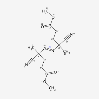 COC(=O)CCC(C)(C#N)/N=N/C(C)(C#N)CCC(=O)OC